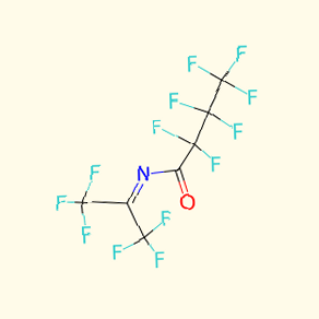 O=C(N=C(C(F)(F)F)C(F)(F)F)C(F)(F)C(F)(F)C(F)(F)F